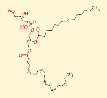 CC/C=C\C/C=C\C/C=C\C/C=C\C/C=C\CCCC(=O)OC[C@H](COP(=O)(O)OC[C@@H](O)CO)OC(=O)CCCCCCCCCCCCCC